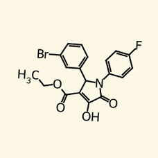 CCOC(=O)C1=C(O)C(=O)N(c2ccc(F)cc2)C1c1cccc(Br)c1